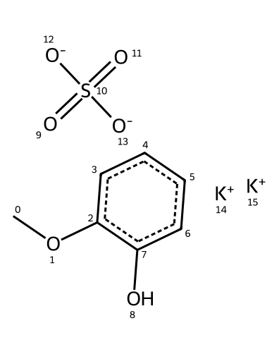 COc1ccccc1O.O=S(=O)([O-])[O-].[K+].[K+]